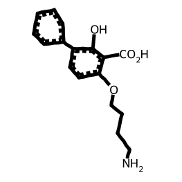 NCCCCOc1ccc(-c2ccccc2)c(O)c1C(=O)O